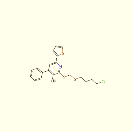 N#Cc1c(-c2ccccc2)cc(-c2cccs2)nc1SCSCCCCCl